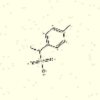 Cc1ccc(C(C)S(=O)(=O)O)cc1